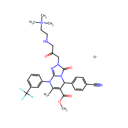 COC(=O)C1=C(C)N(c2cccc(C(F)(F)F)c2)c2nn(CC(=O)CNCC[N+](C)(C)C)c(=O)n2C1c1ccc(C#N)cc1.[Br-]